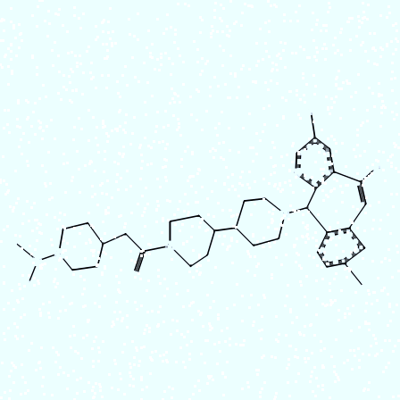 CB(O)N1CCC(CC(=O)N2CCC(C3CCN(C4c5ccc(Cl)cc5C=C(Br)c5cc(Cl)cnc54)CC3)CC2)CC1